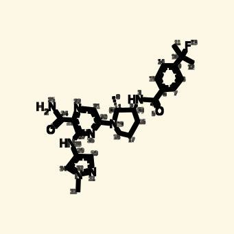 C[C@@H]1[C@H](NC(=O)c2ccc(C(C)(C)F)cc2)CCCN1c1cnc(C(N)=O)c(Nc2cnn(C)c2)n1